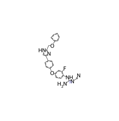 N#C/N=C(/N)Nc1ccc(Oc2ccc(-c3c[nH]c(COc4ccccc4)n3)cc2)cc1F